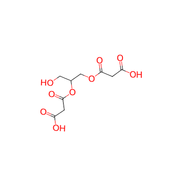 O=C(O)CC(=O)OCC(CO)OC(=O)CC(=O)O